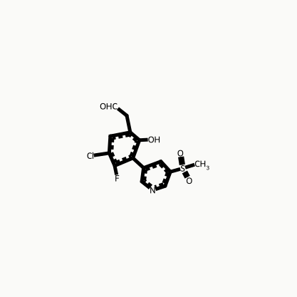 CS(=O)(=O)c1cncc(-c2c(O)c(CC=O)cc(Cl)c2F)c1